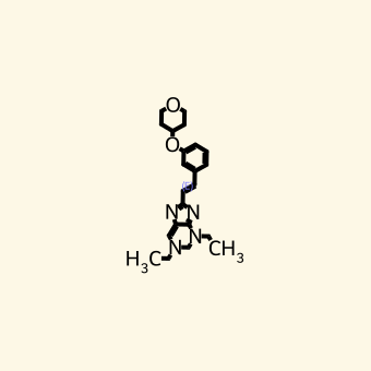 CCN1C=C2N=C(/C=C/c3cccc(OC4CCOCC4)c3)N=C2N(CC)C1